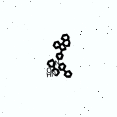 C1=Cc2c(oc3cccc(N(c4ccc(-c5ccccc5)cc4)c4ccc(-c5cc6ccc7ccccc7c6c6ccccc56)cc4)c23)NC1